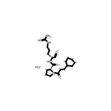 Cl.N=C(N)NCCC[C@@H](C=O)NC(=O)[C@@H]1CCCN1C(=O)CCC1CCCCC1